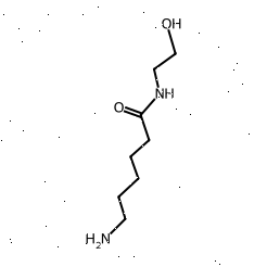 NCCCCCC(=O)NCCO